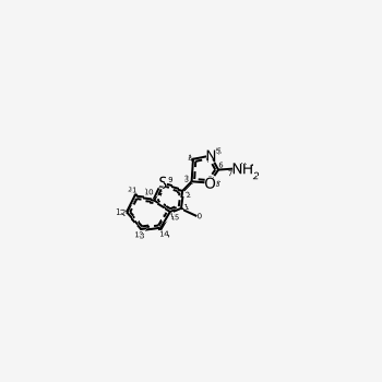 Cc1c(-c2cnc(N)o2)sc2ccccc12